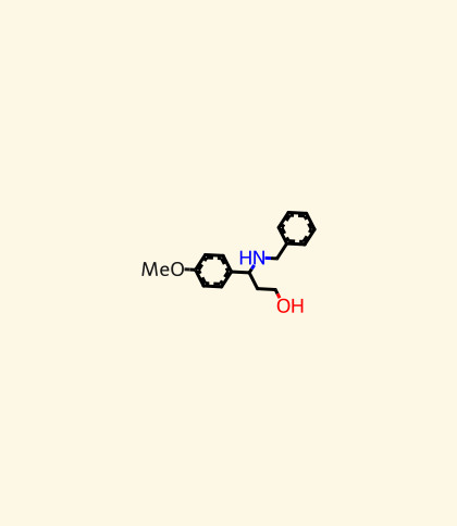 COc1ccc(C(CCO)NCc2ccccc2)cc1